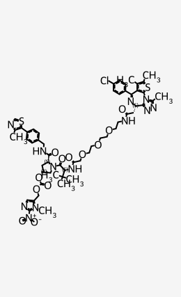 Cc1ncsc1-c1ccc(CNC(=O)[C@@H]2C[C@@H](OC(=O)OCc3cnc([N+](=O)[O-])n3C)CN2C(=O)[C@@H](NC(=O)COCCOCCOCCNC(=O)C[C@@H]2N=C(c3ccc(Cl)cc3)c3c(sc(C)c3C)-n3c(C)nnc32)C(C)(C)C)cc1